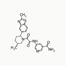 Cc1nc2cc(C3CC[C@H](C)CN3C(=O)C(=O)Nc3cncc(C(N)=O)c3)ccc2s1